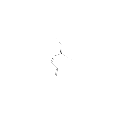 C=C/C=N\C(N)=C/N